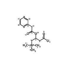 C[N+](C)(C)CC(CC(=O)[O-])OC(=O)Cc1ccccc1